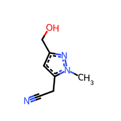 Cn1nc(CO)cc1CC#N